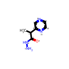 CC(C(=O)NN)c1cnccn1